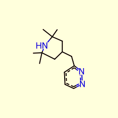 CC1(C)CC(Cc2cccnn2)CC(C)(C)N1